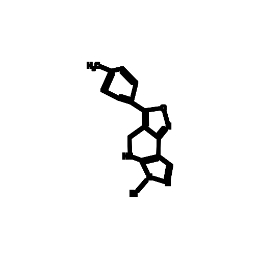 CCn1ncc2c1NCc1c-2noc1-c1ccc(C)cc1